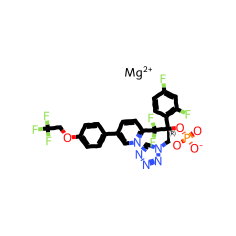 O=P([O-])([O-])O[C@@](Cn1cnnn1)(c1ccc(F)cc1F)C(F)(F)c1ccc(-c2ccc(OCC(F)(F)F)cc2)cn1.[Mg+2]